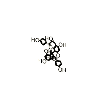 Oc1ccc([C@H]2Oc3c(c(O)cc4c3[C@H]3c5c(O)cc(O)cc5O[C@@](c5ccc(O)cc5)(O4)[C@@H]3O)C[C@@H]2O)cc1